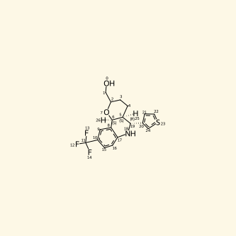 OCC1CC[C@@H]2[C@H](O1)c1cc(C(F)(F)F)ccc1N[C@H]2c1ccsc1